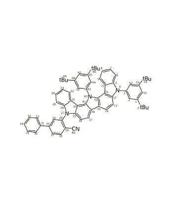 CC(C)(C)c1cc(-n2c3ccccc3c3c2ccc2c4ccc5c(c6ccccc6n5-c5cc(-c6ccccc6)ccc5C#N)c4n(-c4cc(C(C)(C)C)cc(C(C)(C)C)c4)c23)cc(C(C)(C)C)c1